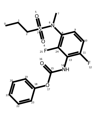 CCCS(=O)(=O)N(C)c1ccc(F)c(NC(=O)Oc2ccccc2)c1F